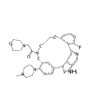 CN1CCN(c2ccc3cc2CN(C(=O)CN2CCOCC2)CCCOc2cccc(F)c2-c2cc4c-3n[nH]c4cn2)CC1